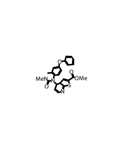 CNC(=O)N(c1ccc(Oc2ccccc2)cc1C)C1C=CN=C2SC(C(=O)OC)=CC21